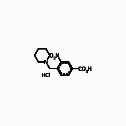 Cl.O=C(O)c1ccc(CN2CCCCC2)c([N+](=O)[O-])c1